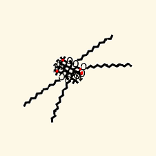 CCCCCCCCCCCCCOC(=O)CC(C(=O)OCCCCCCCCCCCCC)C(C(=O)OCCCCCCCCCCCCC)(C1CC(C)(C)N(C)C(C)(C)C1)C(C(=O)OCCCCCCCCCCCCC)(C1CC(C)(C)N(C)C(C)(C)C1)C1CC(C)(C)N(C)C(C)(C)C1